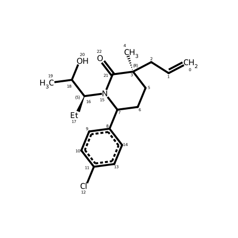 C=CC[C@@]1(C)CCC(c2ccc(Cl)cc2)N([C@@H](CC)C(C)O)C1=O